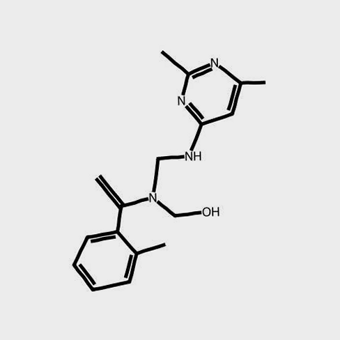 C=C(c1ccccc1C)N(CO)CNc1cc(C)nc(C)n1